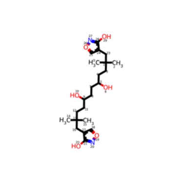 CC(C)(CCC(O)CCC(O)CCC(C)(C)Cc1conc1O)Cc1conc1O